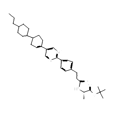 CCCC1CCC(C2CC=C(c3cnc(-c4ccc(CCC(=O)N[C@H](C)C(=O)OC(C)(C)C)cc4)nc3)CC2)CC1